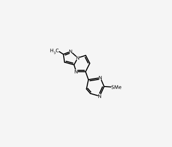 CSc1nccc(-c2ccn3nc(C)cc3n2)n1